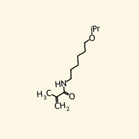 C=C(C)C(=O)NCCCCCCOC(C)C